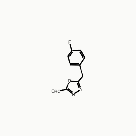 O=Cc1nnc(Cc2ccc(F)cc2)o1